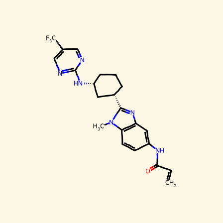 C=CC(=O)Nc1ccc2c(c1)nc([C@H]1CCC[C@@H](Nc3ncc(C(F)(F)F)cn3)C1)n2C